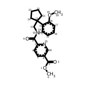 COC(=O)c1ccc(C(=O)NCC2(c3ccccc3OC)CCCC2)nc1